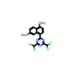 COc1ccc2c(OC)ccc(-c3nc(C(Cl)Cl)nc(C(Cl)Cl)n3)c2c1